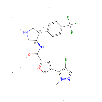 Cn1ncc(Br)c1-c1coc(C(=O)N[C@H]2CNC[C@@H]2c2ccc(C(F)(F)F)cc2)c1